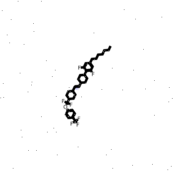 CCCCCCCc1cc(F)c(C2CCC(/C=C/C3CCC(C(F)(F)Oc4ccc(C(F)(F)F)cc4)CC3)CC2)c(F)c1